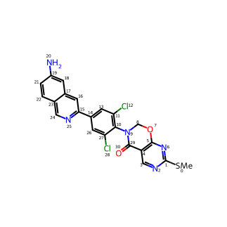 CSc1ncc2c(n1)OCN(c1c(Cl)cc(-c3cc4cc(N)ccc4cn3)cc1Cl)C2=O